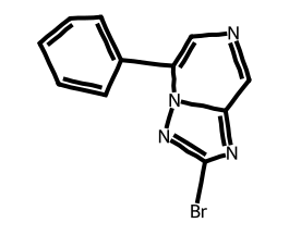 Brc1nc2cncc(-c3ccccc3)n2n1